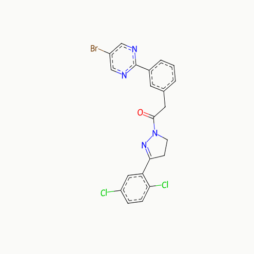 O=C(Cc1cccc(-c2ncc(Br)cn2)c1)N1CCC(c2cc(Cl)ccc2Cl)=N1